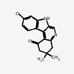 CC1(C)CC(=O)c2c(ncc3[nH]c4cc(Cl)ccc4c23)C1